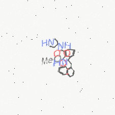 COC(=O)C1=C(C(=O)NC2CCNCC2)C2C=CC1(C(Cc1ccccc1)Nc1ccccc1)O2